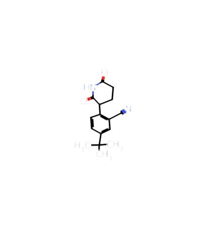 CC(C)(C)c1ccc(C2CCC(=O)NC2=O)c(C#N)c1